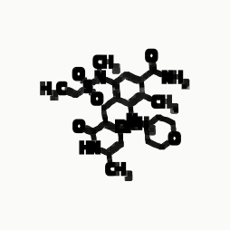 C=CS(=O)(=O)N(C)c1cc(C(N)=O)c(C)c(N(CC)C2CCOCC2)c1Cc1c(C)cc(C)[nH]c1=O